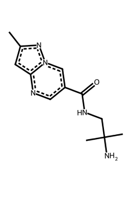 Cc1cc2ncc(C(=O)NCC(C)(C)N)cn2n1